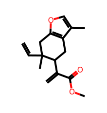 C=CC1(C)Cc2occ(C)c2CC1C(=C)C(=O)OC